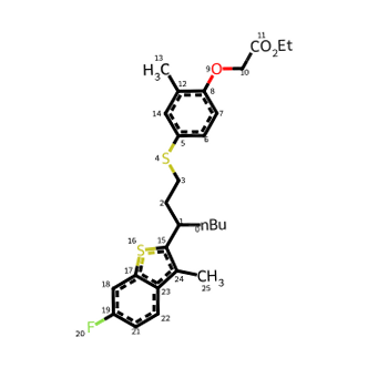 CCCCC(CCSc1ccc(OCC(=O)OCC)c(C)c1)c1sc2cc(F)ccc2c1C